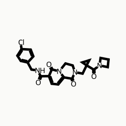 O=C(NCc1ccc(Cl)cc1)c1ccc2n(c1=O)CCN(CC1(C(=O)N3CCC3)CC1)C2=O